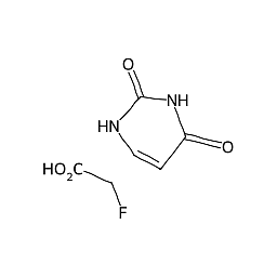 O=C(O)CF.O=c1cc[nH]c(=O)[nH]1